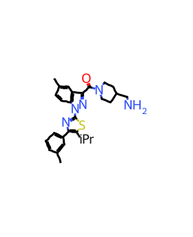 Cc1cccc(-c2nc(-n3nc(C(=O)N4CCC(CN)CC4)c4cc(C)ccc43)sc2C(C)C)c1